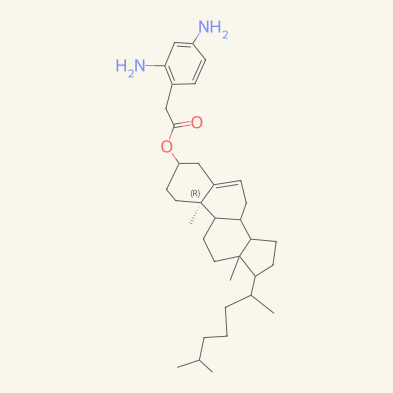 CC(C)CCCC(C)C1CCC2C3CC=C4CC(OC(=O)Cc5ccc(N)cc5N)CC[C@]4(C)C3CCC12C